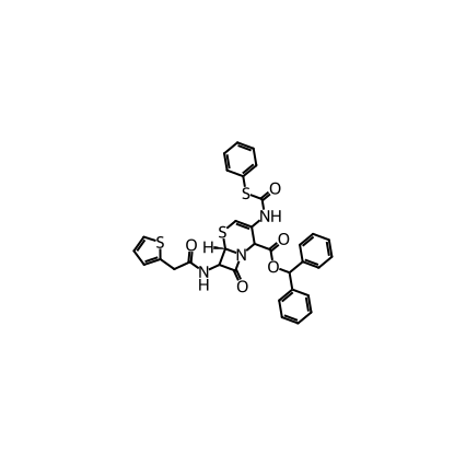 O=C(Cc1cccs1)NC1C(=O)N2C(C(=O)OC(c3ccccc3)c3ccccc3)C(NC(=O)Sc3ccccc3)=CS[C@@H]12